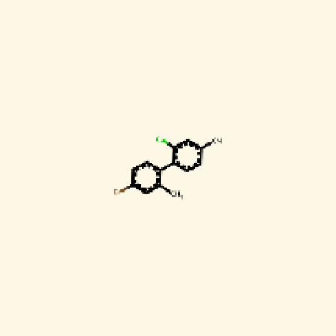 Cc1cc(Br)ccc1-c1ccc(C#N)cc1Cl